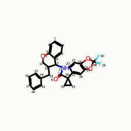 O=C(NC1c2ccccc2OCC1Cc1ccccc1)C1(c2ccc3c(c2)OC(F)(F)O3)CC1